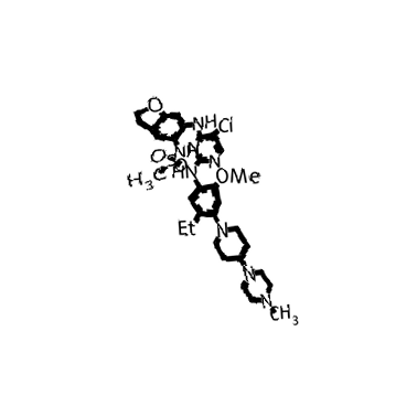 CCc1cc(Nc2ncc(Cl)c(Nc3cc4c(cc3NS(C)(=O)=O)CCO4)n2)c(OC)cc1N1CCC(N2CCN(C)CC2)CC1